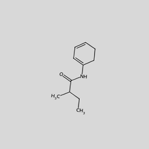 CCC(C)C(=O)NC1=CC=CCC1